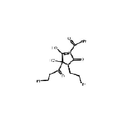 CCCC(=O)C1=C(O)C(O)(C(=O)CCC(C)C)C(CCC(C)C)C1=O